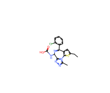 CCc1cc2c(s1)-n1c(C)nnc1C(NC(=O)O)N=C2c1ccccc1Cl